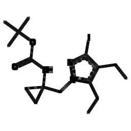 CCc1c(I)nn(CC2(NC(=O)OC(C)(C)C)CC2)c1CC